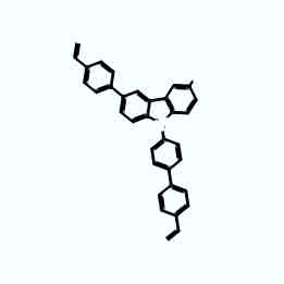 C=Cc1ccc(-c2ccc(-n3c4ccc(Br)cc4c4cc(-c5ccc(C=C)cc5)ccc43)cc2)cc1